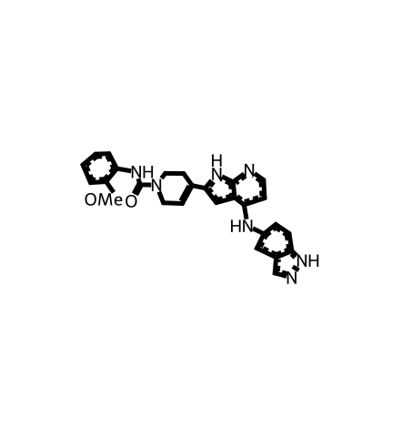 COc1ccccc1NC(=O)N1CC=C(c2cc3c(Nc4ccc5[nH]ncc5c4)ccnc3[nH]2)CC1